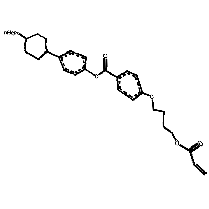 C=CC(=O)OCCCCOc1ccc(C(=O)Oc2ccc(C3CCC(CCCCCCC)CC3)cc2)cc1